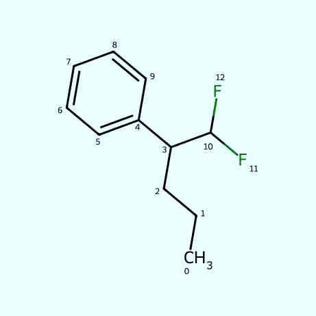 CCCC(c1ccccc1)C(F)F